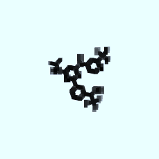 CC(C)Nc1cc(Nc2ccnc(C(F)(F)F)c2)nc(-c2cccc(C(O)C(F)(F)F)c2)n1